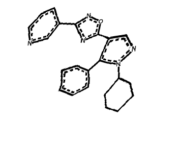 c1ccc(-c2c(-c3nc(-c4cccnc4)no3)cnn2C2CCCCC2)cc1